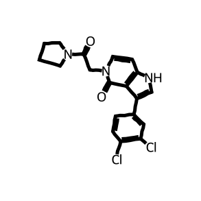 O=C(Cn1ccc2[nH]cc(-c3ccc(Cl)c(Cl)c3)c2c1=O)N1CCCC1